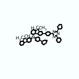 CC1(C)c2ccccc2-c2ccc(N(c3ccc(-c4ccccc4)cc3)c3cccc4c3-c3ccc(-c5ccc(-c6nc(-c7ccccc7)nc(-c7ccccc7)n6)cc5)cc3C4(C)C)cc21